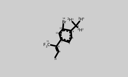 [2H]C([2H])([2H])c1ccc(C(=CC)C(F)(F)F)cc1Br